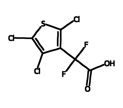 O=C(O)C(F)(F)c1c(Cl)sc(Cl)c1Cl